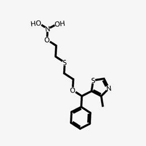 Cc1ncsc1C(OCCSCCON(O)O)c1ccccc1